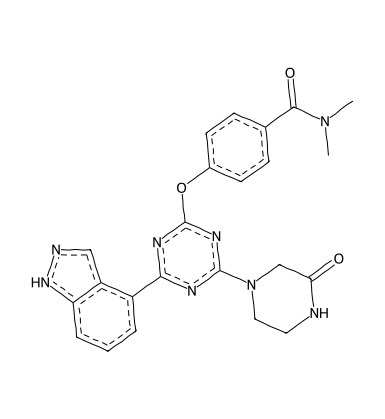 CN(C)C(=O)c1ccc(Oc2nc(-c3cccc4[nH]ncc34)nc(N3CCNC(=O)C3)n2)cc1